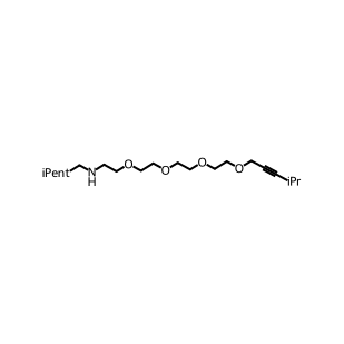 CCCC(C)CNCCOCCOCCOCCOCC#CC(C)C